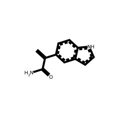 C=C(C(N)=O)c1ccc2[nH]ccc2c1